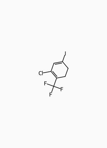 FC(F)(F)C1=C(Cl)C=C(I)CC1